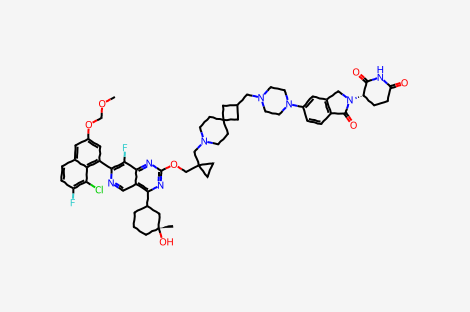 COCOc1cc(-c2ncc3c(C4CCC[C@@](C)(O)C4)nc(OCC4(CN5CCC6(CC5)CC(CN5CCN(c7ccc8c(c7)CN([C@H]7CCC(=O)NC7=O)C8=O)CC5)C6)CC4)nc3c2F)c2c(Cl)c(F)ccc2c1